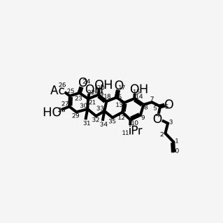 C=CCCOC(=O)Cc1cc(C(C)C)c2c(c1O)C(=O)C1=C(O)C3(O)C(=O)C(C(C)=O)=C(O)CC3(C)CC1(C)C2